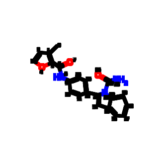 Cc1ccoc1C(=O)Nc1ccc(-c2cc3ccccc3n2C(N)=O)cc1